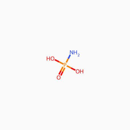 NP(=O)(O)O